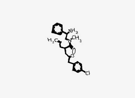 C=CCC(CC(=O)Cc1ccc(Cl)cc1)C(=O)N(C)CC(N)c1ccccc1